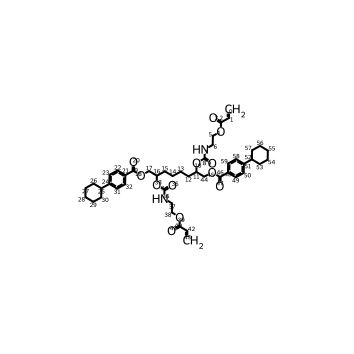 C=CC(=O)OCCNC(=O)OC(CCCCC(COC(=O)c1ccc(C2CCCCC2)cc1)OC(=O)NCCOC(=O)C=C)COC(=O)c1ccc(C2CCCCC2)cc1